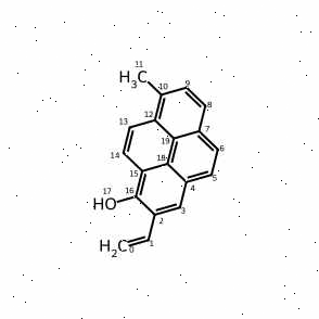 C=Cc1cc2ccc3ccc(C)c4ccc(c1O)c2c34